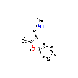 CCCNCCC(CC)Oc1ccccc1